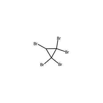 BrC1C(Br)(Br)C1(Br)Br